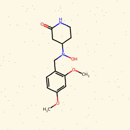 COc1ccc(CN(O)C2CCNC(=O)C2)c(OC)c1